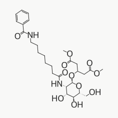 COC(=O)CC(CC(=O)OC)O[C@H]1O[C@H](CO)[C@@H](O)[C@H](O)[C@@H]1NC(=O)CCCCCCCNC(=O)c1ccccc1